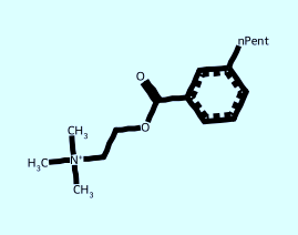 CCCCCc1cccc(C(=O)OCC[N+](C)(C)C)c1